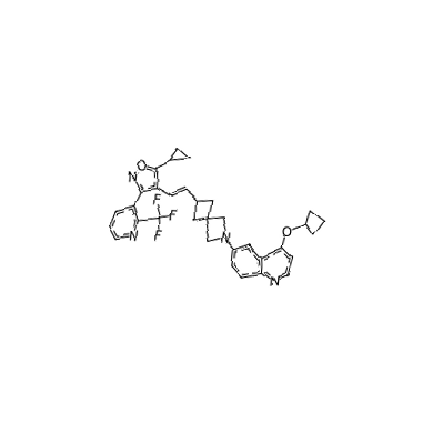 FC(F)(F)c1ncccc1-c1noc(C2CC2)c1/C=C/C1CC2(C1)CN(c1ccc3nccc(OC4CCC4)c3c1)C2